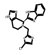 Clc1cnc(CN2CCc3[nH]cnc3[C@H]2c2nc3ccccc3[nH]2)s1